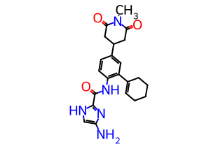 CN1C(=O)CC(c2ccc(NC(=O)c3nc(N)c[nH]3)c(C3=CCCCC3)c2)CC1=O